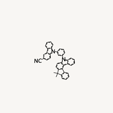 CC1(C)c2ccccc2-c2c1ccc1c2c2ccccc2n1-c1cccc(-n2c3ccccc3c3cc(C#N)ccc32)c1